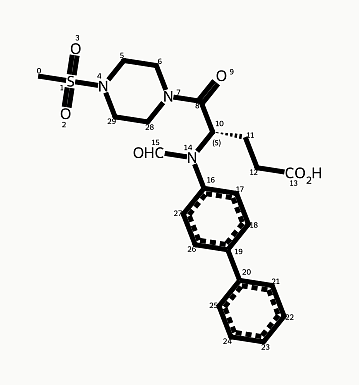 CS(=O)(=O)N1CCN(C(=O)[C@H](CCC(=O)O)N(C=O)c2ccc(-c3ccccc3)cc2)CC1